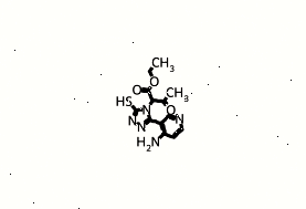 CCOC(=O)C(C(C)=O)n1c(S)nnc1-c1cnccc1N